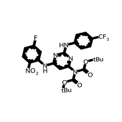 CC(C)(C)OC(=O)N(C(=O)OC(C)(C)C)c1cc(Nc2cc(F)ccc2[N+](=O)[O-])nc(Nc2ccc(C(F)(F)F)cc2)n1